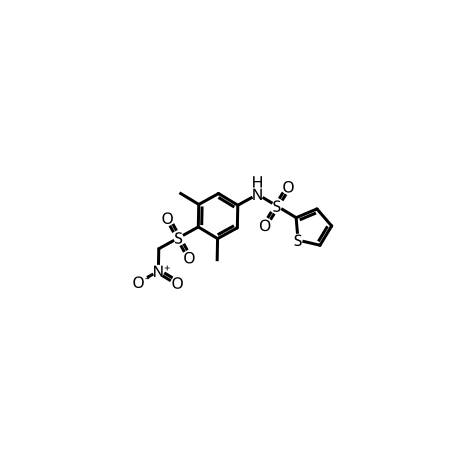 Cc1cc(NS(=O)(=O)c2cccs2)cc(C)c1S(=O)(=O)C[N+](=O)[O-]